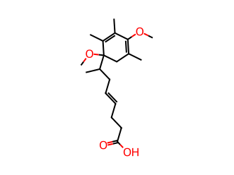 COC1=C(C)CC(OC)(C(C)C/C=C/CCC(=O)O)C(C)=C1C